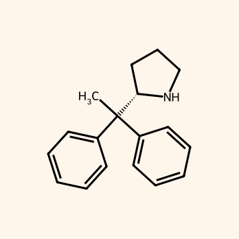 CC(c1ccccc1)(c1ccccc1)[C@@H]1CCCN1